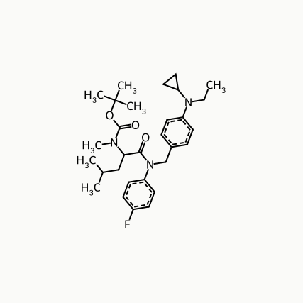 CCN(c1ccc(CN(C(=O)C(CC(C)C)N(C)C(=O)OC(C)(C)C)c2ccc(F)cc2)cc1)C1CC1